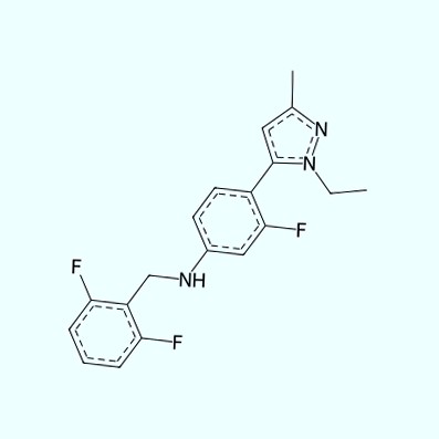 CCn1nc(C)cc1-c1ccc(NCc2c(F)cccc2F)cc1F